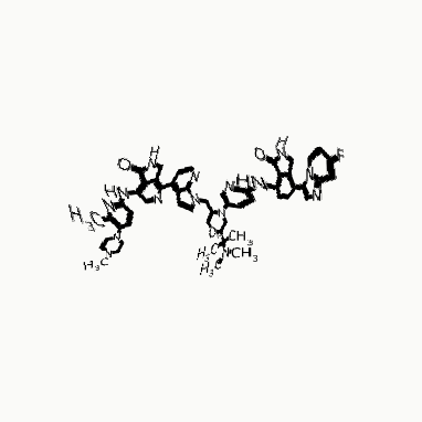 Cc1nc(Nc2cnc(-c3ccnc4c3ccn4CC3CO[C@H](C(C)(C)N(C)C)CN3c3ccc(Nc4ccc(-c5cnc6cc(F)ccn56)c5c4C(=O)NC5)nc3)c3c2C(=O)NC3)ccc1N1CCN(C)CC1